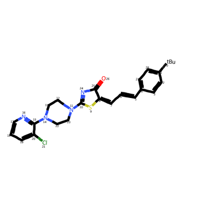 CC(C)(C)c1ccc(C=CC=C2SC(N3CCN(c4ncccc4Cl)CC3)=NC2=O)cc1